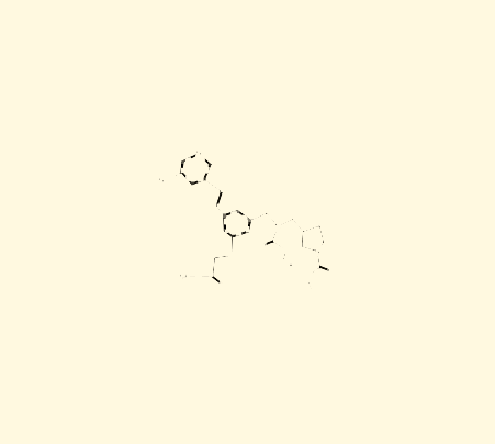 COC(=O)COc1cc(/C=C/c2cncc(C#N)c2)cc(CN(CC2CCN(C(=O)OC(C)(C)C)C2)C(=O)OC(C)(C)C)c1